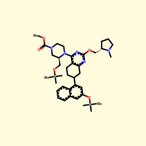 CN1CCC[C@H]1COc1nc2c(c(N3CCN(C(=O)OC(C)(C)C)C[C@@H]3CO[Si](C)(C)C(C)(C)C)n1)CCC(c1cc(O[Si](C)(C)C(C)(C)C)cc3ccccc13)C2